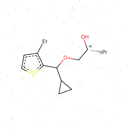 CCC[C@@H](O)COC(c1sccc1CC)C1CC1